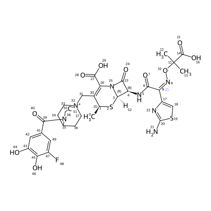 C[C@@H]1S[C@@H]2[C@H](NC(=O)/C(=N\OC(C)(C)C(=O)O)c3csc(N)n3)C(=O)N2C(C(=O)O)=C1C[N+]12CCC(CC1)N(C(=O)c1cc(O)c(O)c(F)c1)CC2